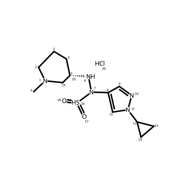 CN1CCC[C@H](NN(c2cnn(C3CC3)c2)[SH](=O)=O)C1.Cl